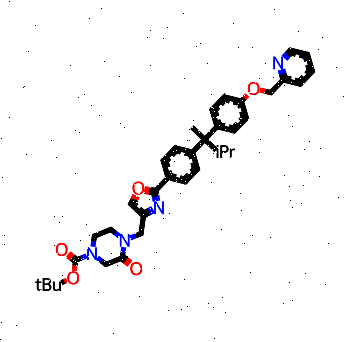 CC(C)C(C)(c1ccc(OCc2ccccn2)cc1)c1ccc(-c2nc(CN3CCN(C(=O)OC(C)(C)C)CC3=O)co2)cc1